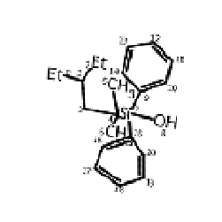 CCC(CC)CC(C)(C)[Si](O)(c1ccccc1)c1ccccc1